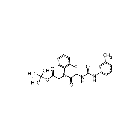 Cc1cccc(NC(=O)NCC(=O)N(CC(=O)OC(C)(C)C)c2ccccc2F)c1